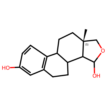 C[C@]12CCC3c4ccc(O)cc4CCC3C1C(O)OC2